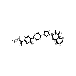 CNC(=O)c1ccc(N2CCC(N3CCC(c4nc5ccccc5c(=O)[nH]4)C3)CC2)c(Cl)n1